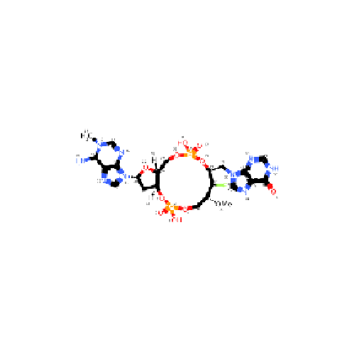 CO[C@@H]1COP(=O)(O)O[C@H]2C[C@H](n3cnc4c3N=CN(C)C4N)O[C@@H]2COP(=O)(O)O[C@@H](Cn2cnc3c(=O)[nH]cnc32)[C@H]1F